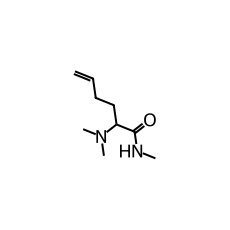 C=CCCC(C(=O)NC)N(C)C